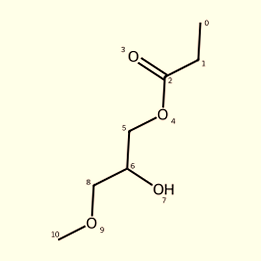 CCC(=O)OCC(O)COC